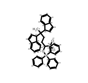 CC(CC[CH](O[Si](c1ccccc1)(c1ccccc1)c1ccccc1)[Zr]([Cl])[Cl])(C1C=Cc2ccccc21)C1C=Cc2ccccc21